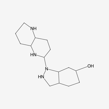 OC1CCC2CNN(C3CCC4NCCCC4N3)C2C1